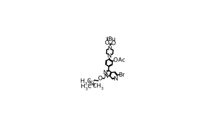 CC(=O)Oc1cc(-c2nn(COCC[Si](C)(C)C)c3cnc(Br)cc23)ccc1N1CCN(C(=O)OC(C)(C)C)CC1